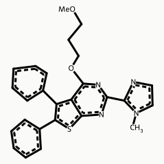 COCCCOc1nc(-c2nccn2C)nc2sc(-c3ccccc3)c(-c3ccccc3)c12